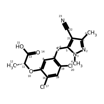 Cc1nn(C)c(Sc2cc(O[C@H](C)C(=O)O)c(Cl)cc2Cl)c1C#N